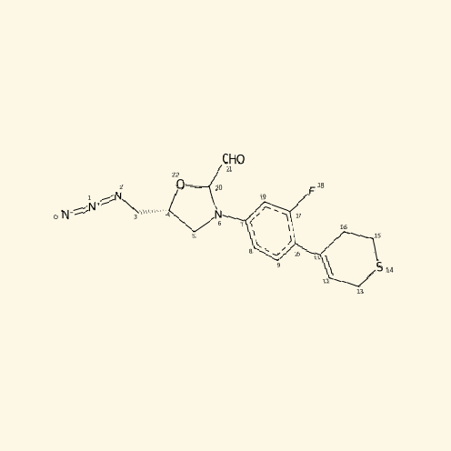 [N-]=[N+]=NC[C@H]1CN(c2ccc(C3=CCSCC3)c(F)c2)C(C=O)O1